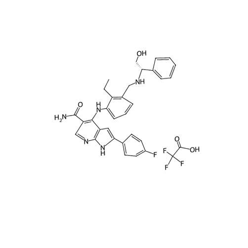 CCc1c(CN[C@H](CO)c2ccccc2)cccc1Nc1c(C(N)=O)cnc2[nH]c(-c3ccc(F)cc3)cc12.O=C(O)C(F)(F)F